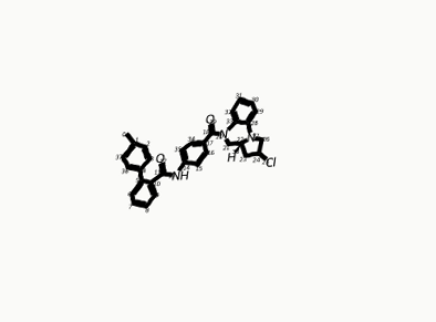 Cc1ccc(-c2ccccc2C(=O)Nc2ccc(C(=O)N3C[C@H]4CC(Cl)CN4c4ccccc43)cc2)cc1